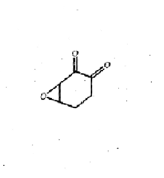 O=C1CCC2OC2C1=O